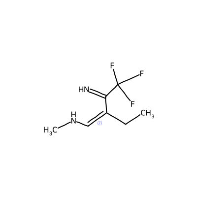 CC/C(=C/NC)C(=N)C(F)(F)F